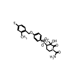 Cc1cc(F)ccc1COc1ccc(S(=O)(=O)C2CCN(C(N)=O)C(=O)C2(O)C(=O)O)cc1